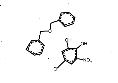 O=[N+]([O-])c1cc(Cl)cc(O)c1O.c1ccc(COCc2ccccc2)cc1